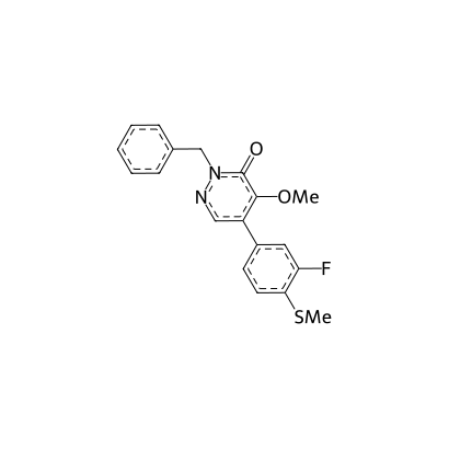 COc1c(-c2ccc(SC)c(F)c2)cnn(Cc2ccccc2)c1=O